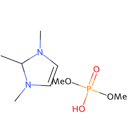 CC1N(C)C=CN1C.COP(=O)(O)OC